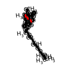 CC(=O)OC[C@]12SS[C@@]3(C[C@]4([C@]56CCN(C(=O)CSSCC(=O)N(C)CCOC(=O)OCCCCC(=O)NCCOCCOCCNC(=O)OC(C)(C)C)[C@H]5N(S(=O)(=O)c5ccccc5)c5ccccc56)c5ccccc5N(S(=O)(=O)c5ccccc5)[C@@H]4N3C1=O)C(=O)N2C